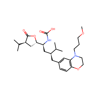 COCCCN1CCOc2ccc(C[C@@H](C[C@H](NC(=O)O)[C@@H]3C[C@@H](C(C)C)C(=O)O3)C(C)C)cc21